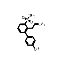 C=CCc1c(-c2ccc(O)cc2)cccc1S(N)(=O)=O